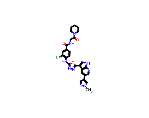 Cn1cc(-c2cnc3[nH]cc(-c4nnc(Nc5ccc(C(=O)NCC(=O)N6CCCCC6)cc5Cl)o4)c3c2)cn1